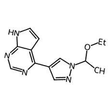 CCOC(C)n1cc(-c2ncnc3[nH]ccc23)cn1